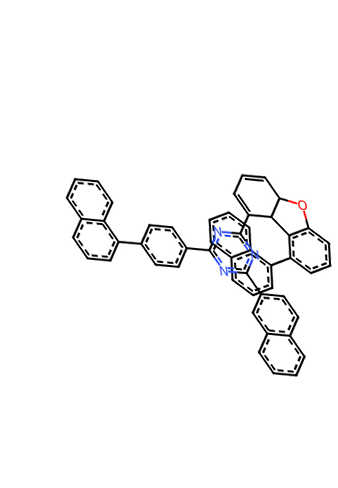 C1=CC2Oc3cccc(-c4cccc5ccccc45)c3C2C(c2nc(-c3ccc(-c4cccc5ccccc45)cc3)nc(-c3ccc4ccccc4c3)n2)=C1